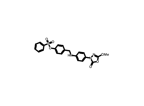 COc1nn(-c2ccc(NCc3ccc(OS(=O)(=O)c4ccccc4)cc3)cc2)c(=O)o1